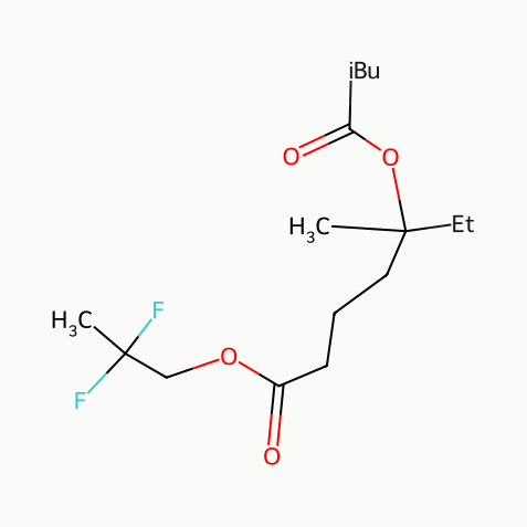 CCC(C)C(=O)OC(C)(CC)CCCC(=O)OCC(C)(F)F